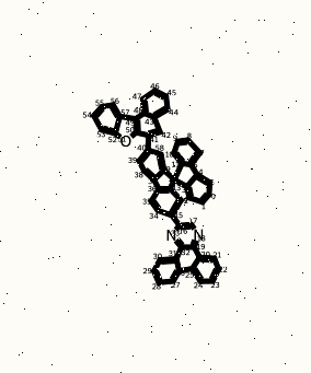 c1ccc2c(c1)-c1ccccc1C21c2cc(-c3cnc4c5ccccc5c5ccccc5c4n3)ccc2-c2ccc(-c3cc4ccccc4c4c3oc3ccccc34)cc21